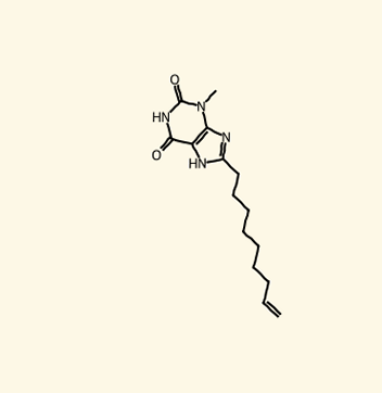 C=CCCCCCCCc1nc2c([nH]1)c(=O)[nH]c(=O)n2C